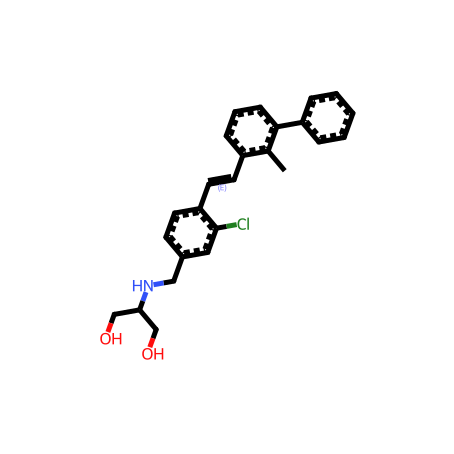 Cc1c(/C=C/c2ccc(CNC(CO)CO)cc2Cl)cccc1-c1ccccc1